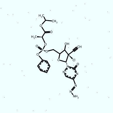 C#C[C@@]1(Cl)C(O)C(CO[P@](=O)(Oc2ccccc2)O[C@@H](C)C(=O)OC(C)C)O[C@H]1n1ncc(N=NN)nc1=O